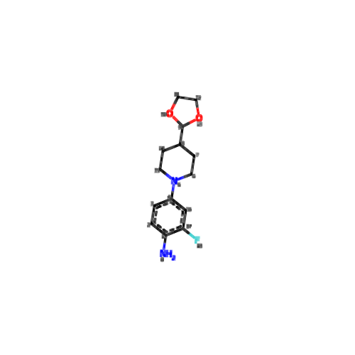 Nc1ccc(N2CCC(C3OCCO3)CC2)cc1F